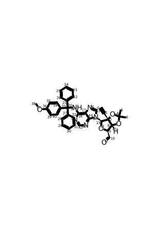 C#C[C@@]12OC(C)(C)O[C@@H]1[C@@H](C=O)O[C@H]2n1cnc2c(NC(c3ccccc3)(c3ccccc3)c3ccc(OC)cc3)ncnc21